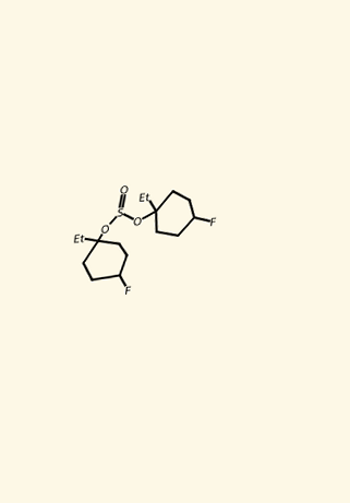 CCC1(OS(=O)OC2(CC)CCC(F)CC2)CCC(F)CC1